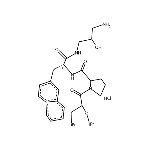 CC(C)CC(CC(C)C)C(=O)N1CCCC1C(=O)N[C@H](Cc1ccc2ccccc2c1)C(=O)NCC(O)CN.Cl